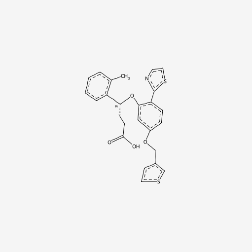 Cc1ccccc1[C@@H](CCC(=O)O)Oc1cc(OCc2ccsc2)ccc1-c1nccs1